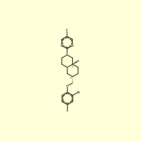 Fc1cnc(N2CCN3C[C@@H](COc4ccc(F)cc4Br)CC[C@H]3C2)nc1